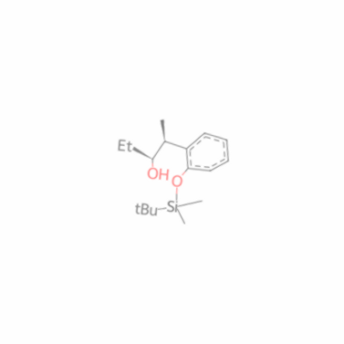 CC[C@H](O)[C@@H](C)c1ccccc1O[Si](C)(C)C(C)(C)C